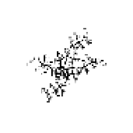 FOC(F)(F)C(F)(F)OC12C(F)(F)C3(OC(F)(F)C(F)(F)OF)C(F)(F)C(OC(F)(F)C(F)(F)N(F)F)(C1(F)F)C(F)(F)C(OC(F)(F)C(F)(F)N(F)F)(C2(F)F)C3(F)F